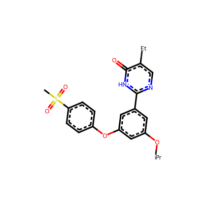 CCc1cnc(-c2cc(Oc3ccc(S(C)(=O)=O)cc3)cc(OC(C)C)c2)[nH]c1=O